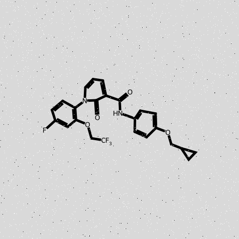 O=C(Nc1ccc(OCC2CC2)cc1)c1cccn(-c2ccc(F)cc2OCC(F)(F)F)c1=O